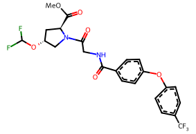 COC(=O)[C@@H]1C[C@@H](OC(F)F)CN1C(=O)CNC(=O)c1ccc(Oc2ccc(C(F)(F)F)cc2)cc1